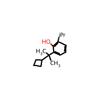 CC(C)c1cccc(C(C)(C)C2CCC2)c1O